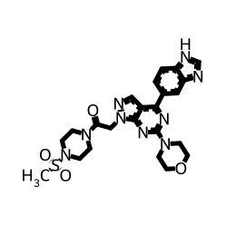 CS(=O)(=O)N1CCN(C(=O)Cn2ncc3c(-c4ccc5[nH]cnc5c4)nc(N4CCOCC4)nc32)CC1